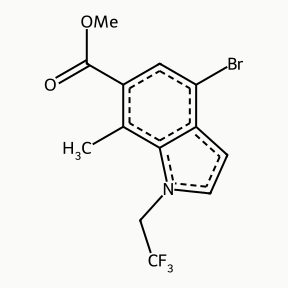 COC(=O)c1cc(Br)c2ccn(CC(F)(F)F)c2c1C